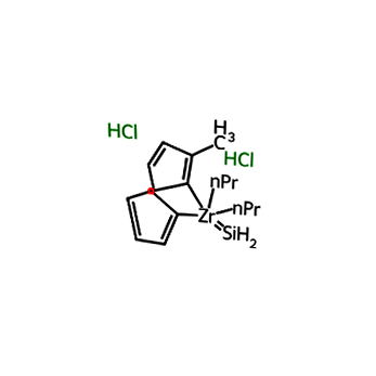 CC[CH2][Zr](=[SiH2])([CH2]CC)([C]1=CC=CC1)[C]1=C(C)C=CC1.Cl.Cl